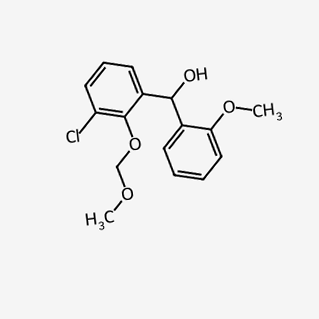 COCOc1c(Cl)cccc1C(O)c1ccccc1OC